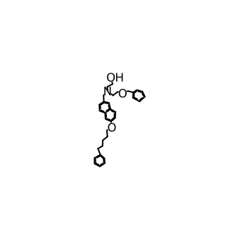 OCCN(CCOCc1ccccc1)Cc1ccc2cc(OCCCCCc3ccccc3)ccc2c1